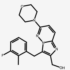 Cc1c(F)cccc1Cc1c(CO)nc2ccc(N3CCOCC3)nn12